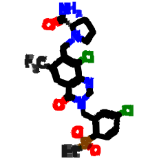 CCS(=O)(=O)c1ccc(Cl)cc1Cn1cnc2c(Cl)c(CN3CCC[C@H]3C(N)=O)c(C(F)(F)F)cc2c1=O